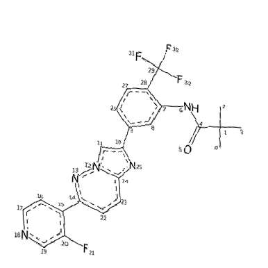 CC(C)(C)C(=O)Nc1cc(-c2cn3nc(-c4ccncc4F)ccc3n2)ccc1C(F)(F)F